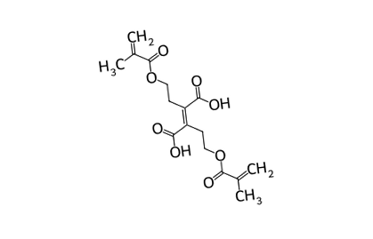 C=C(C)C(=O)OCCC(C(=O)O)=C(CCOC(=O)C(=C)C)C(=O)O